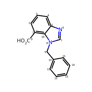 O=C(O)c1cccc2ncn(Cc3ccccc3)c12